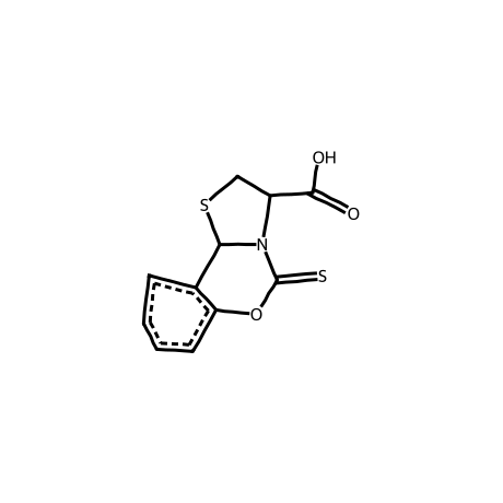 O=C(O)C1CSC2c3ccccc3OC(=S)N12